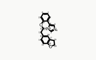 c1ccc(-c2cnc[nH]2)c(OCCc2ccc3c(c2)CCO3)c1